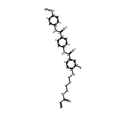 C=CC(=O)OCCCCOc1ccc(C(=O)Oc2ccc(C(=O)Oc3ccc(CCCCC)cc3)cc2)cc1C